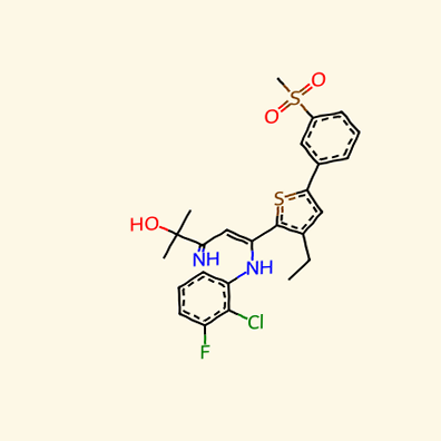 CCc1cc(-c2cccc(S(C)(=O)=O)c2)sc1/C(=C/C(=N)C(C)(C)O)Nc1cccc(F)c1Cl